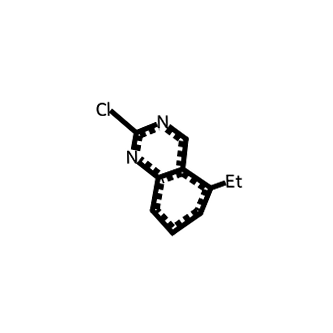 CCc1cccc2nc(Cl)ncc12